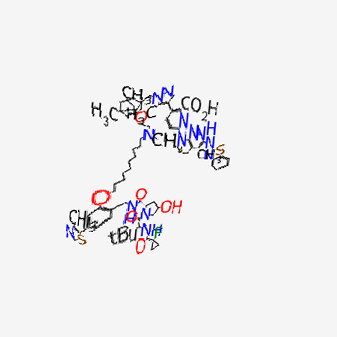 Cc1ncsc1-c1ccc(CNC(=O)[C@@H]2C[C@@H](O)CN2C(=O)[C@@H](NC(=O)C2(F)CC2)C(C)(C)C)c(OCCCCCCCCCCN(C)CCOC23CC4(C)CC(C)(CC(Cn5ncc(-c6ccc(N7CCCc8c7nnc(Nc7nc9ccccc9s7)c8C)nc6C(=O)O)c5C)(C4)C2)C3)c1